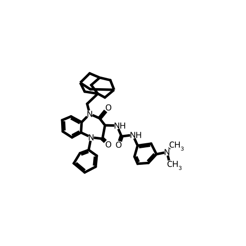 CN(C)c1cccc(NC(=O)NC2C(=O)N(CC34CC5CC(CC(C5)C3)C4)c3ccccc3N(c3ccccc3)C2=O)c1